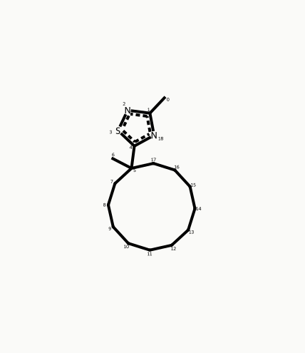 Cc1nsc(C2(C)CCCCCCCCCCC2)n1